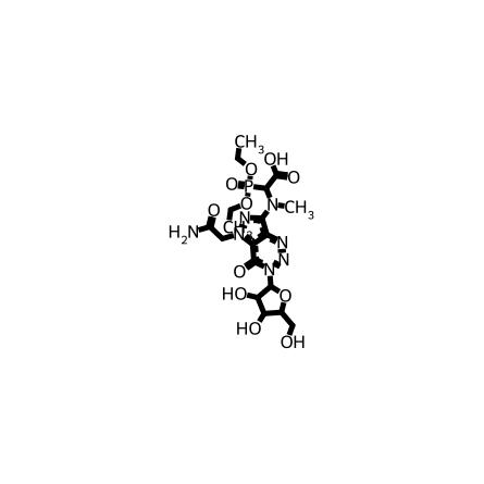 CCOP(=O)(OCC)C(C(=O)O)N(C)c1nn(CC(N)=O)c2c(=O)n(C3OC(CO)C(O)C3O)nnc12